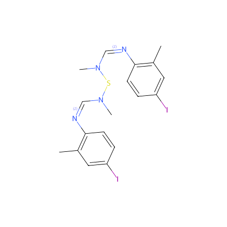 Cc1cc(I)ccc1/N=C\N(C)SN(C)/C=N\c1ccc(I)cc1C